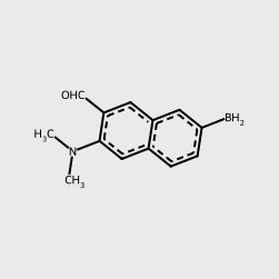 Bc1ccc2cc(N(C)C)c(C=O)cc2c1